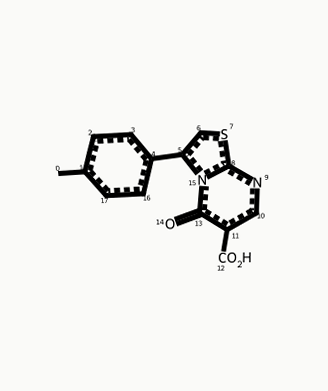 Cc1ccc(-c2csc3ncc(C(=O)O)c(=O)n23)cc1